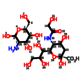 N[C@H]1C(O)O[C@H](CO)[C@@H](O)[C@@H]1O.O=C(CO)N[C@@H]1[C@@H](O)C[C@](O)(C(=O)O)O[C@H]1C(O)C(O)CO